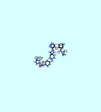 CCN(C(=O)c1cc(F)ccc1Oc1cncnc1N1CC2(CCN(C[C@H]3CC[C@H](NS(=O)(=O)N4CCC(OC)C4)CC3)CC2)C1)C(C)C